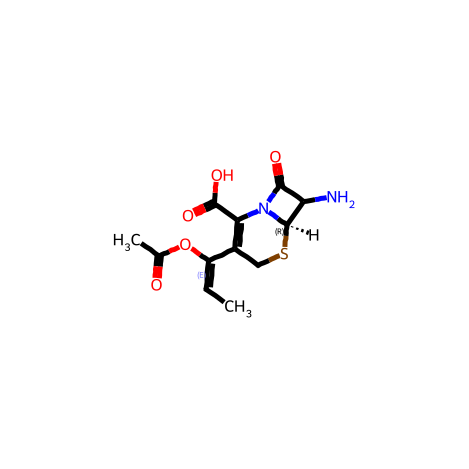 C/C=C(/OC(C)=O)C1=C(C(=O)O)N2C(=O)C(N)[C@H]2SC1